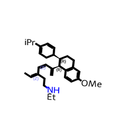 C=C(/C=C\C(=C/C)CCNCC)[C@@H]1c2ccc(OC)cc2CC[C@@H]1C1C=CC(C(C)C)=CC1